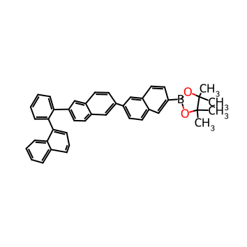 CC1(C)OB(c2ccc3cc(-c4ccc5cc(-c6ccccc6-c6cccc7ccccc67)ccc5c4)ccc3c2)OC1(C)C